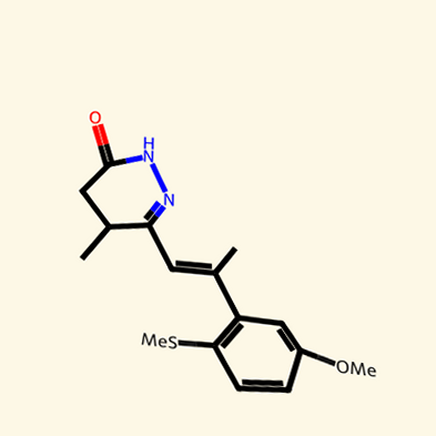 COc1ccc(SC)c(C(C)=CC2=NNC(=O)CC2C)c1